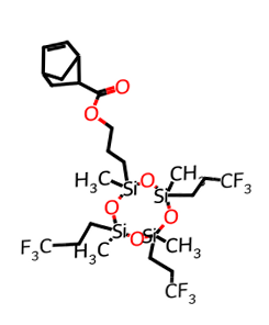 C[Si]1(CCCOC(=O)C2CC3C=CC2C3)O[Si](C)(CCC(F)(F)F)O[Si](C)(CCC(F)(F)F)O[Si](C)(CCC(F)(F)F)O1